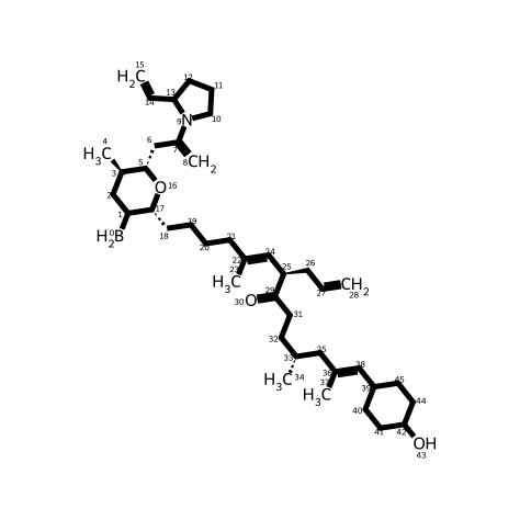 BC1C[C@@H](C)[C@H](CC(=C)N2CCCC2C=C)O[C@@H]1CCCC/C(C)=C/[C@@H](CC=C)C(=O)CC[C@@H](C)C/C(C)=C/C1CCC(O)CC1